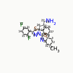 Cc1ccc2sc(N3N=C(c4cc(F)ccc4F)SC3(CCCN)c3ccccc3)nc2c1